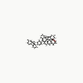 c1ccc(N(c2ccc(-c3cccc4c3oc3ccccc34)cc2)c2ccc3c(c2)C2(c4ccccc4-c4ccccc42)c2c(ccc4ccccc24)S3)cc1